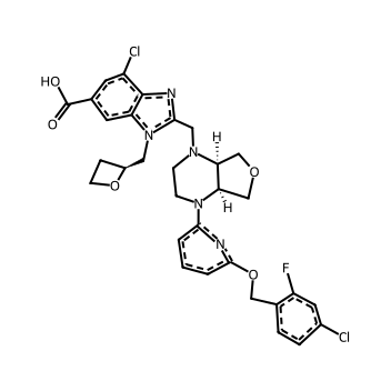 O=C(O)c1cc(Cl)c2nc(CN3CCN(c4cccc(OCc5ccc(Cl)cc5F)n4)[C@@H]4COC[C@@H]43)n(C[C@@H]3CCO3)c2c1